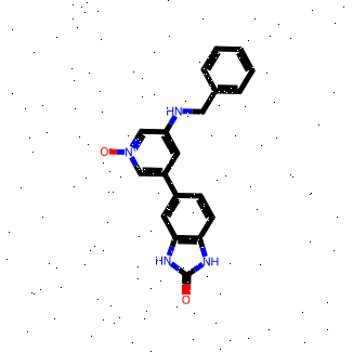 O=c1[nH]c2ccc(-c3cc(NCc4ccccc4)c[n+]([O-])c3)cc2[nH]1